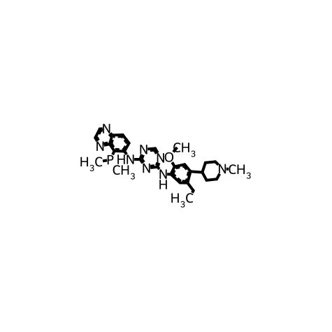 CCc1cc(Nc2ncnc(Nc3ccc4nccnc4c3P(C)C)n2)c(OC)cc1C1CCN(C)CC1